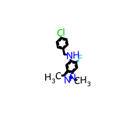 Cc1nn(C)c2cc(F)c(NCc3ccc(Cl)cc3)cc12